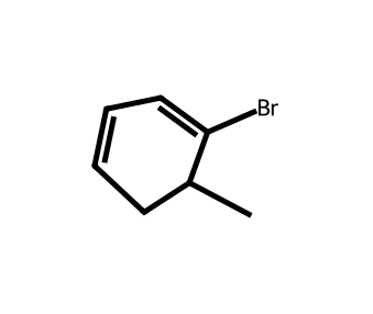 CC1CC=CC=C1Br